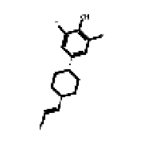 N#Cc1c(F)cc([C@H]2CC[C@H](C=CF)CC2)cc1F